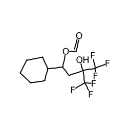 O=COC(CC(O)(C(F)(F)F)C(F)(F)F)C1CCCCC1